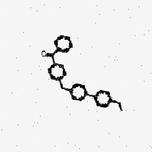 CCc1ccc(-c2ccc(Cc3ccc(C(=O)c4ccccc4)cc3)cc2)cc1